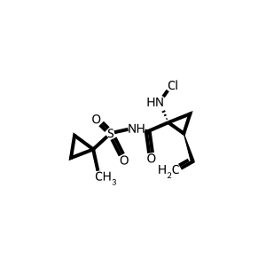 C=C[C@@H]1C[C@]1(NCl)C(=O)NS(=O)(=O)C1(C)CC1